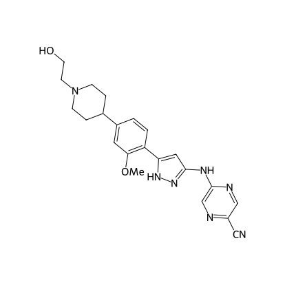 COc1cc(C2CCN(CCO)CC2)ccc1-c1cc(Nc2cnc(C#N)cn2)n[nH]1